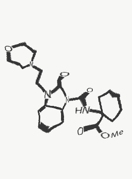 COC(=O)C1(NC(=O)n2c(=O)n(CCN3CCOCC3)c3ccccc32)CCCCC1